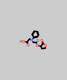 O=C(O)CN(CC(=O)OC1CCOC1=O)c1ccccc1